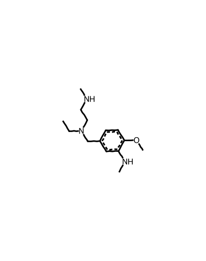 CCN(CCNC)Cc1ccc(OC)c(NC)c1